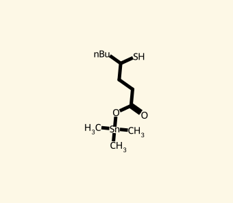 CCCCC(S)CCC(=O)[O][Sn]([CH3])([CH3])[CH3]